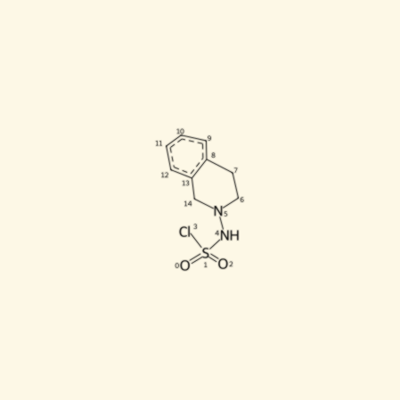 O=S(=O)(Cl)NN1CCc2ccccc2C1